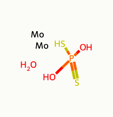 O.OP(O)(=S)S.[Mo].[Mo]